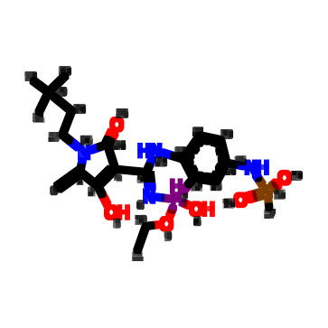 C=C1C(O)=C(C2=N[PH](O)(OCC)c3cc(NS(C)(=O)=O)ccc3N2)C(=O)N1CCC(C)(C)C